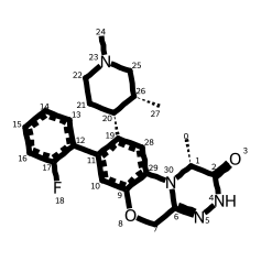 C[C@@H]1C(=O)NN=C2COc3cc(-c4ccccc4F)c([C@@H]4CCN(C)C[C@@H]4C)cc3N21